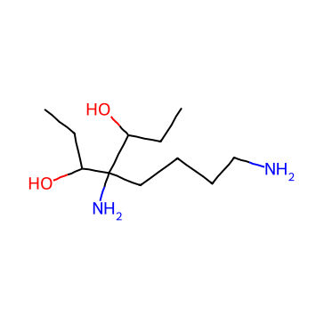 CCC(O)C(N)(CCCCN)C(O)CC